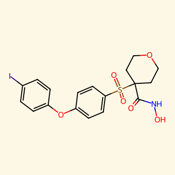 O=C(NO)C1(S(=O)(=O)c2ccc(Oc3ccc(I)cc3)cc2)CCOCC1